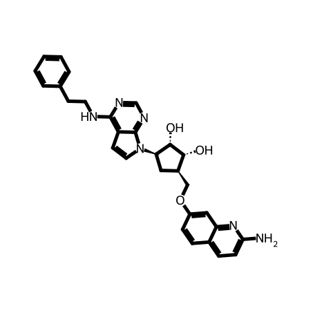 Nc1ccc2ccc(OC[C@H]3C[C@@H](n4ccc5c(NCCc6ccccc6)ncnc54)[C@H](O)[C@@H]3O)cc2n1